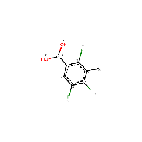 Cc1c(F)c(F)cc(B(O)O)c1F